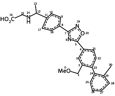 COCc1cc(-c2nc(-c3ccc(C(C)NCC(=O)O)cc3)no2)ccc1-c1ccccc1C